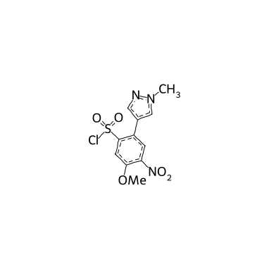 COc1cc(S(=O)(=O)Cl)c(-c2cnn(C)c2)cc1[N+](=O)[O-]